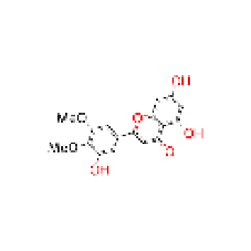 COc1cc(-c2cc(=O)c3c(O)cc(O)cc3o2)cc(O)c1OC